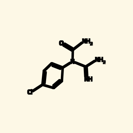 N=C(N)N(C(N)=O)c1ccc(Cl)cc1